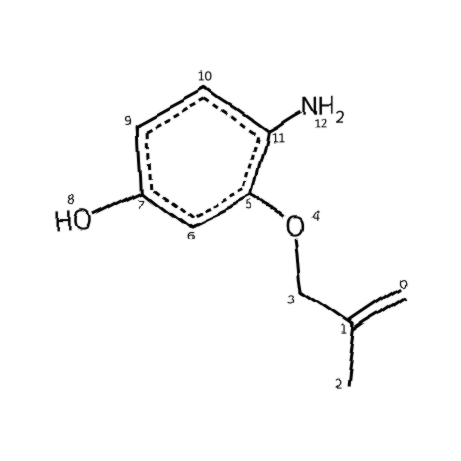 C=C(C)COc1cc(O)ccc1N